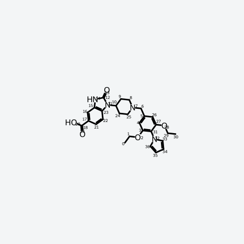 CCOc1cc(CN2CCC(n3c(=O)[nH]c4cc(C(=O)O)ccc43)CC2)cc(OCC)c1-n1cccc1